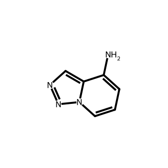 Nc1cccn2nncc12